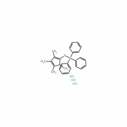 CC1=C(C)C(C)[C]([Ti][Si](c2ccccc2)(c2ccccc2)c2ccccc2)=C1C.Cl.Cl.Cl